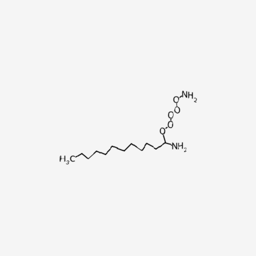 CCCCCCCCCCCC(N)OOOOON